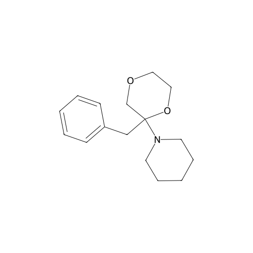 c1ccc(CC2(N3CCCCC3)COCCO2)cc1